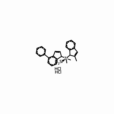 CC1=Cc2ccccc2[CH]1[Zr]([CH3])([CH3])(=[SiH2])[CH]1C=Cc2c(-c3ccccc3)cccc21.Cl.Cl